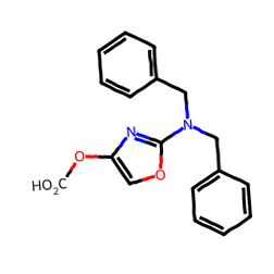 O=C(O)Oc1coc(N(Cc2ccccc2)Cc2ccccc2)n1